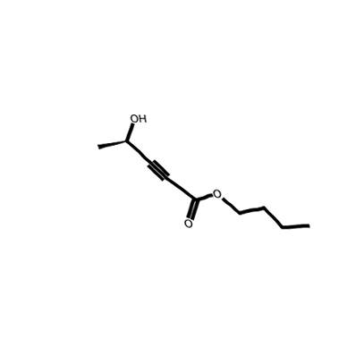 CCCCOC(=O)C#C[C@@H](C)O